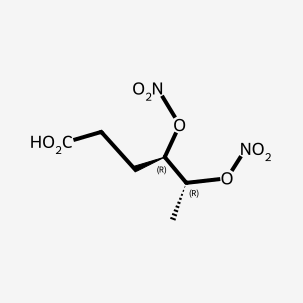 C[C@@H](O[N+](=O)[O-])[C@@H](CCC(=O)O)O[N+](=O)[O-]